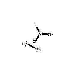 Cl[SiH](Cl)Cl.[SiH3][SiH3]